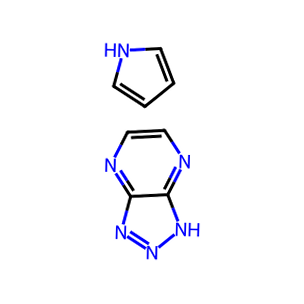 c1cc[nH]c1.c1cnc2[nH]nnc2n1